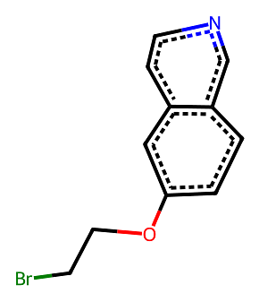 BrCCOc1ccc2cnccc2c1